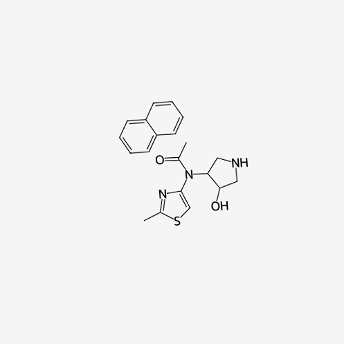 CC(=O)N(c1csc(C)n1)C1CNCC1O.c1ccc2ccccc2c1